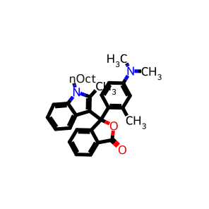 CCCCCCCCn1c(C)c(C2(c3ccc(N(C)C)cc3C)OC(=O)c3ccccc32)c2ccccc21